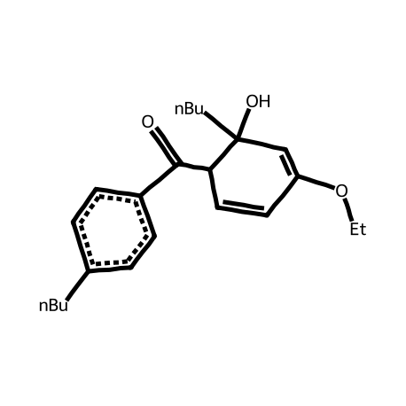 CCCCc1ccc(C(=O)C2C=CC(OCC)=CC2(O)CCCC)cc1